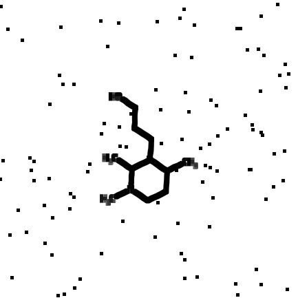 CC1CCN(C)C(C)C1CCCO